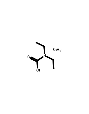 CCN(CC)C(=O)O.[SnH2]